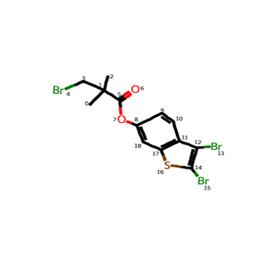 CC(C)(CBr)C(=O)Oc1ccc2c(Br)c(Br)sc2c1